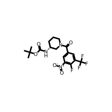 CC(C)(C)OC(=O)N[C@@H]1CCCN(C(=O)c2cc([N+](=O)[O-])c(F)c(C(F)(F)F)c2)C1